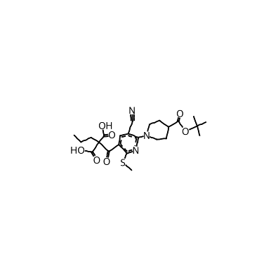 CCCC(C(=O)O)(C(=O)O)C(=O)c1cc(C#N)c(N2CCC(C(=O)OC(C)(C)C)CC2)nc1SC